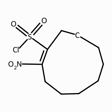 O=[N+]([O-])/C1=C(\S(=O)(=O)Cl)CCCCCCCC1